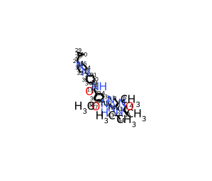 C/C=C1\C(=O)N(C)c2cnc(Nc3ccc(C(=O)N[C@H]4CC[C@H](N5CCN(CC6CC6)CC5)CC4)cc3OC)nc2N1C(C)C